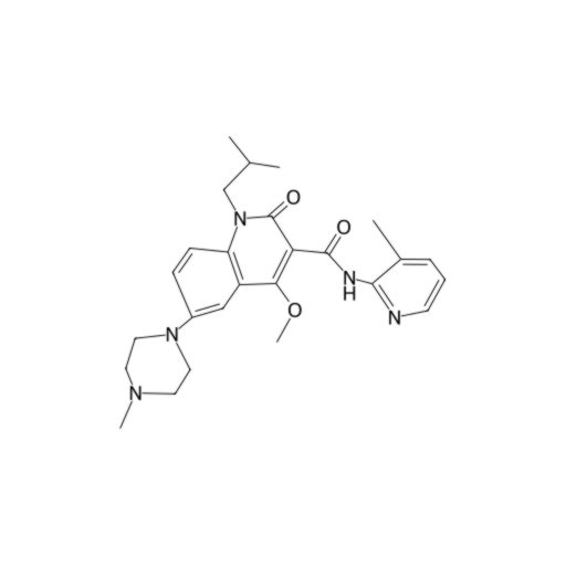 COc1c(C(=O)Nc2ncccc2C)c(=O)n(CC(C)C)c2ccc(N3CCN(C)CC3)cc12